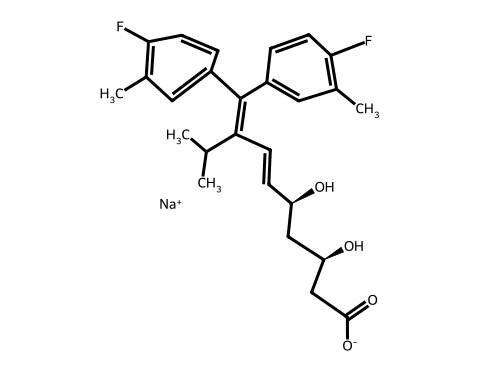 Cc1cc(C(=C(/C=C/[C@@H](O)C[C@@H](O)CC(=O)[O-])C(C)C)c2ccc(F)c(C)c2)ccc1F.[Na+]